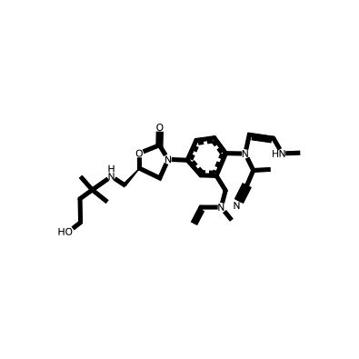 C=CN(C)Cc1cc(N2C[C@@H](CNC(C)(C)CCO)OC2=O)ccc1N(/C=C\NC)C(C)C#N